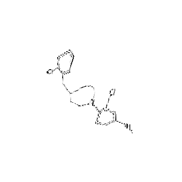 Nc1ccc(N2CCC(Cc3ccccc3Cl)CC2)c(Cl)c1